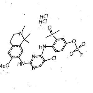 COc1cc2c(cc1Nc1ncc(Cl)c(Nc3ccc(OS(=O)(=O)F)cc3P(C)(C)=O)n1)C(C)(C)N(C)CC2.Cl.Cl